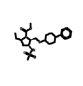 CCC1C[C@H](NS(C)(=O)=O)[C@H](COC2CCC(c3ccccc3)CC2)N1C(=O)OC